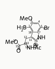 Bc1c(OC)cc(Br)c2[nH]c(Br)c(C[C@H](NC(C)=O)C(=O)OC)c12